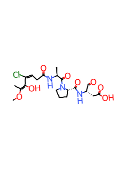 CO/C(C)=C(O)/C(Cl)=C\CC(=O)N[C@@H](C)C(=O)N1CCC[C@H]1C(=O)N[C@H](C=O)CC(=O)O